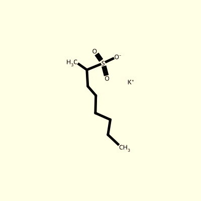 CCCCCCC(C)S(=O)(=O)[O-].[K+]